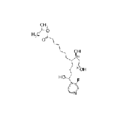 CC(C)OC(=O)CCCCCCC1C(CCC(O)c2ccncc2F)[C@H](O)C[C@@H]1O